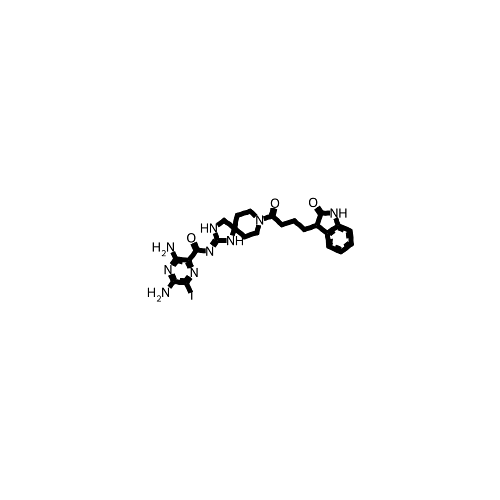 Nc1nc(N)c(C(=O)/N=C2\NCC3(CCN(C(=O)CCCC4C(=O)Nc5ccccc54)CC3)N2)nc1I